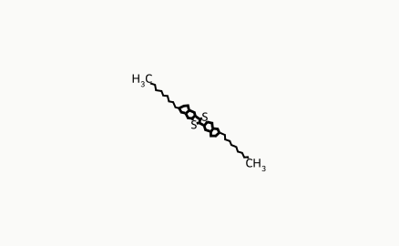 CCCCCCCCCCc1ccc2cc3c(cc2c1)sc1c2cc4ccc(CCCCCCCCCC)cc4cc2sc31